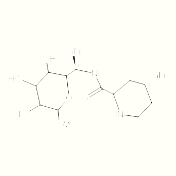 CCC[C@@H]1CCNC(C(=O)N[C@H](C(C)C)C2OC(SC)C(O)C(O)C2O)C1